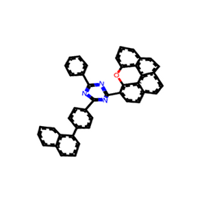 c1ccc(-c2nc(-c3ccc(-c4cccc5ccccc45)cc3)nc(-c3ccc4ccc5ccc6cccc7c6c5c4c3O7)n2)cc1